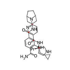 CC(C)[C@]1(NC(=O)c2ccc(N3C4CCC3CC(NC(=O)c3ccc(C(N)=O)c(NCC5CC5)c3)C4)nc2)CCNC1